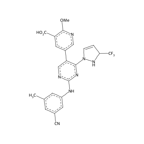 COc1ncc(-c2cnc(Nc3cc(C)cc(C#N)c3)nc2N2C=CC(C(F)(F)F)N2)cc1C(=O)O